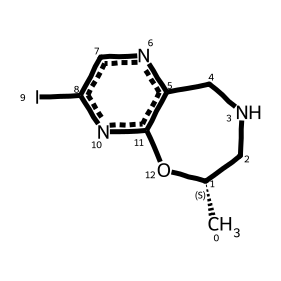 C[C@H]1CNCc2ncc(I)nc2O1